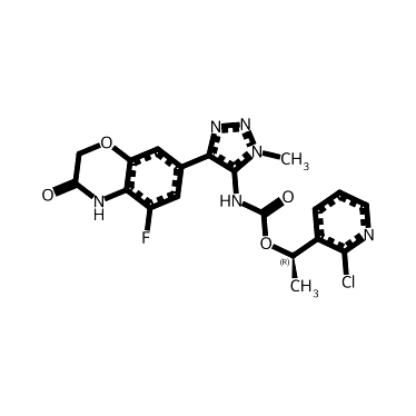 C[C@@H](OC(=O)Nc1c(-c2cc(F)c3c(c2)OCC(=O)N3)nnn1C)c1cccnc1Cl